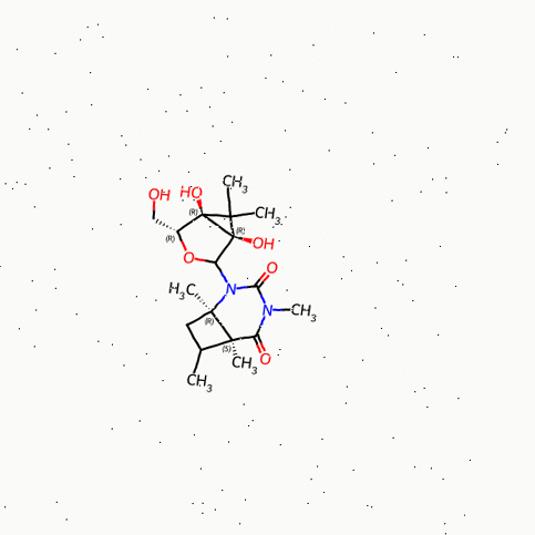 CC1C[C@@]2(C)N(C3O[C@H](CO)[C@]4(O)C(C)(C)[C@]34O)C(=O)N(C)C(=O)[C@@]12C